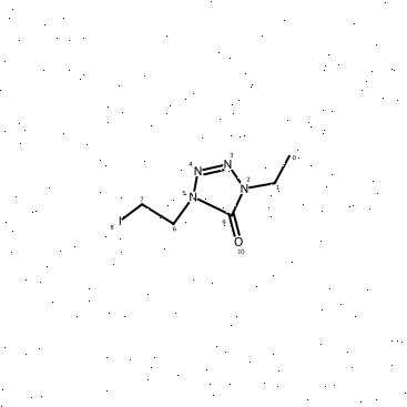 CCn1nnn(CCI)c1=O